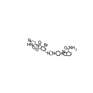 NC(=O)c1cccc2cn(-c3ccc(N4CCN(Cc5cc(Br)c6c(c5)C(=O)N(C5CCC(=O)NC5=O)C6=O)CC4)cc3)nc12